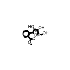 COC(=O)c1cnccc1C1O[C@H](CO)[C@@H](O)[C@H]1O